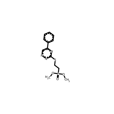 COP(=O)(CCSc1nncc(-c2ccccc2)n1)OC